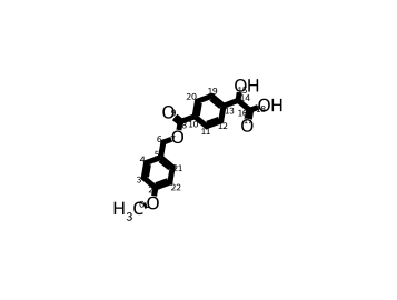 COc1ccc(COC(=O)c2ccc(C(O)C(=O)O)cc2)cc1